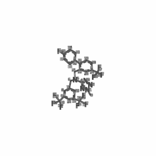 Cn1nnc(N(Cc2cc(C(F)(F)F)cc(C(F)(F)F)c2)Cc2cc(C(F)(F)F)ccc2-c2ccc(F)cc2)n1